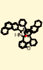 c1ccc(-c2ccc(-c3cccc4oc5cccc(C6=NC(c7ccc8ccccc8c7)=NC(c7ccc8ccc9ccccc9c8c7)N6)c5c34)cc2)cc1